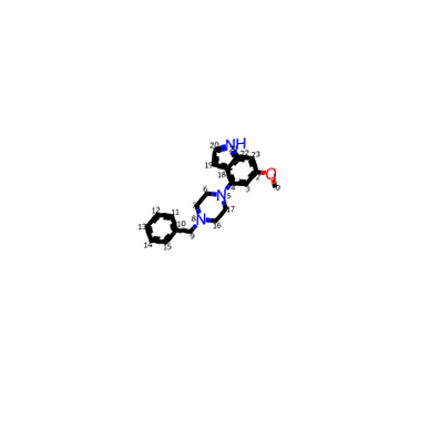 COc1cc(N2CCN(Cc3ccccc3)CC2)c2cc[nH]c2c1